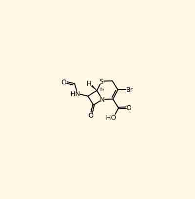 O=CNC1C(=O)N2C(C(=O)O)=C(Br)CS[C@@H]12